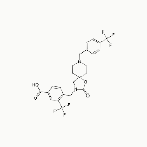 O=C(O)c1ccc(CN2CC3(CCN(Cc4ccc(C(F)(F)F)cc4)CC3)OC2=O)c(C(F)(F)F)c1